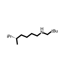 CC(C)[C@@H](C)CCCCNCC(C)(C)C